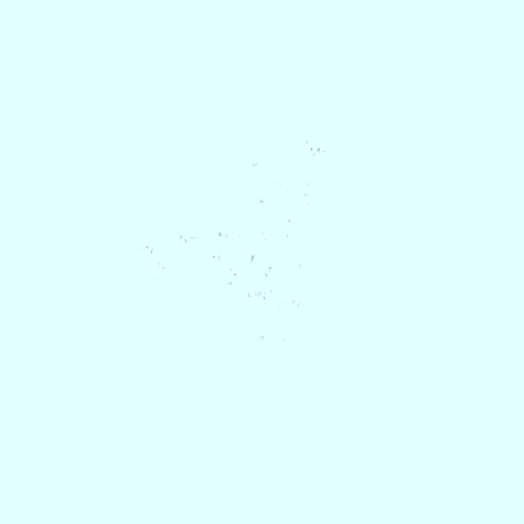 COc1ccc(Sc2ccc(Sc3nnc[nH]3)nc2C(=O)Nc2nccs2)cc1F